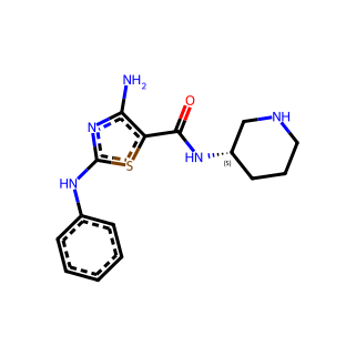 Nc1nc(Nc2ccccc2)sc1C(=O)N[C@H]1CCCNC1